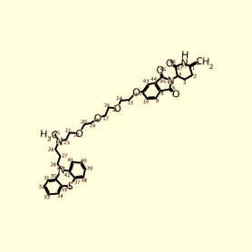 C=C1CCC(N2C(=O)c3ccc(OCCOCCOCCOCCN(C)CCCN4c5ccccc5Sc5ccccc54)cc3C2=O)C(=O)N1